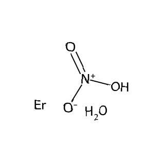 O.O=[N+]([O-])O.[Er]